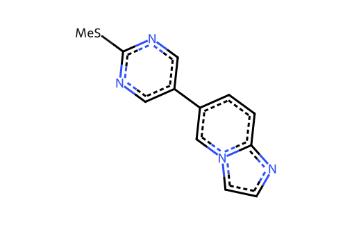 CSc1ncc(-c2ccc3nccn3c2)cn1